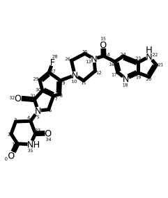 O=C1CCC(N2Cc3cc(N4CCN(C(=O)c5cnc6cc[nH]c6c5)CC4)c(F)cc3C2=O)C(=O)N1